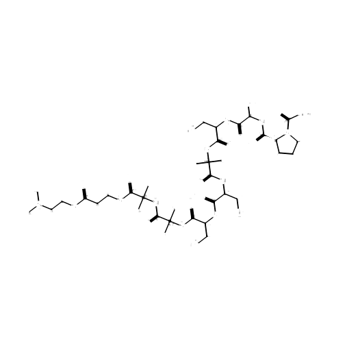 CCCCCCCCC(NC(=O)[C@@H]1CCCN1C(=O)CCCCC)C(=O)NC(CC(C)C)C(=O)NC(C)(C)C(=O)NC(CC(C)C)C(=O)NC(CC(C)C)C(=O)NC(C)(C)C(=O)NC(C)(C)C(=O)NCCC(=O)NCCN(C)C